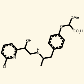 COC(Oc1ccc(CC(C)NCC(O)c2cccc(Cl)n2)cc1)C(=O)O